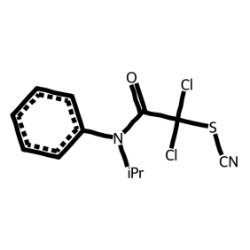 CC(C)N(C(=O)C(Cl)(Cl)SC#N)c1ccccc1